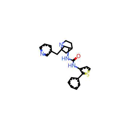 O=C(Nc1ccsc1-c1ccccc1)NC1C2CCN(CC2)C1Cc1cccnc1